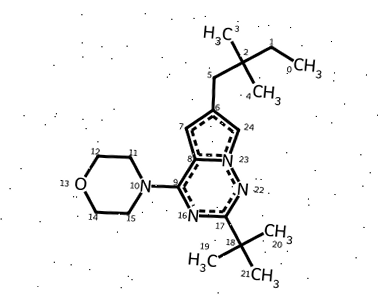 CCC(C)(C)Cc1cc2c(N3CCOCC3)nc(C(C)(C)C)nn2c1